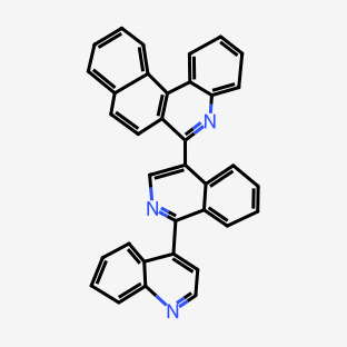 c1ccc2c(c1)ccc1c(-c3cnc(-c4ccnc5ccccc45)c4ccccc34)nc3ccccc3c12